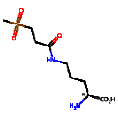 CS(=O)(=O)CCC(=O)NCCC[C@H](N)C(=O)O